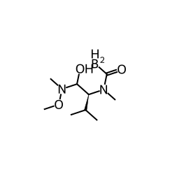 BC(=O)N(C)[C@@H](C(C)C)C(O)N(C)OC